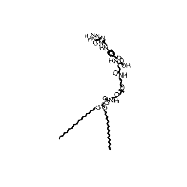 CCCCCCCCCCCCCCCCCCOC[C@H](COC(=O)NCCOCC(C)(C)OCCCNC(=O)CC[C@@H](NC(=O)c1ccc(NCc2cnc3nc(N)[nH]c(=O)c3n2)cc1)C(=O)O)OCCCCCCCCCCCCCCCCCC